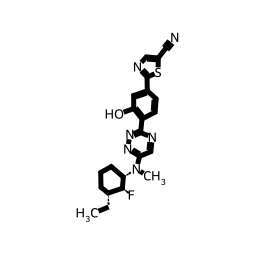 CC[C@@H]1CCC[C@H](N(C)c2cnc(-c3ccc(-c4ncc(C#N)s4)cc3O)nn2)[C@@H]1F